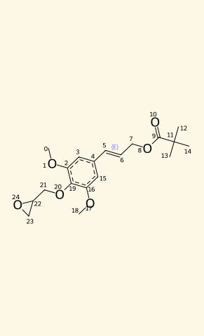 COc1cc(/C=C/COC(=O)C(C)(C)C)cc(OC)c1OCC1CO1